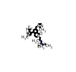 C=N/C=C(\C=C(/C)CN1CCc2c(cc(Cn3ccnc3C)cc2-c2cn(C)nc2C(F)(F)F)C1=O)OC